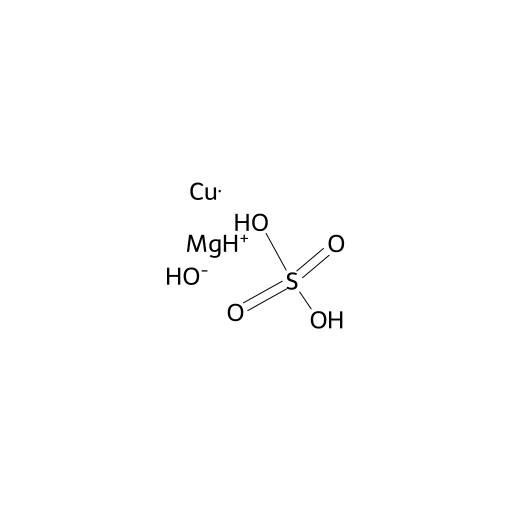 O=S(=O)(O)O.[Cu].[MgH+].[OH-]